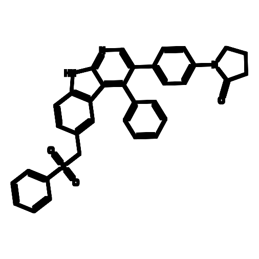 O=C1CCCN1c1ccc(-c2cnc3[nH]c4ccc(CS(=O)(=O)c5ccccc5)cc4c3c2-c2ccccc2)cc1